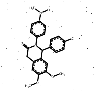 COc1cc2c(cc1OC)C(c1ccc(Cl)cc1)N(c1ccc(N(C)C)cc1)C(=O)C2